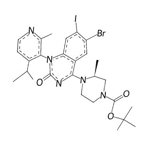 Cc1nccc(C(C)C)c1-n1c(=O)nc(N2CCN(C(=O)OC(C)(C)C)C[C@@H]2C)c2cc(Br)c(I)cc21